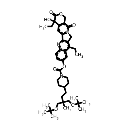 CCc1c2c(nc3ccc(OC(=O)N4CCC(CCC(C)(COC(C)(C)C)COC(C)(C)C)CC4)cc13)-c1cc3c(c(=O)n1C2)COC(=O)C3(O)CC